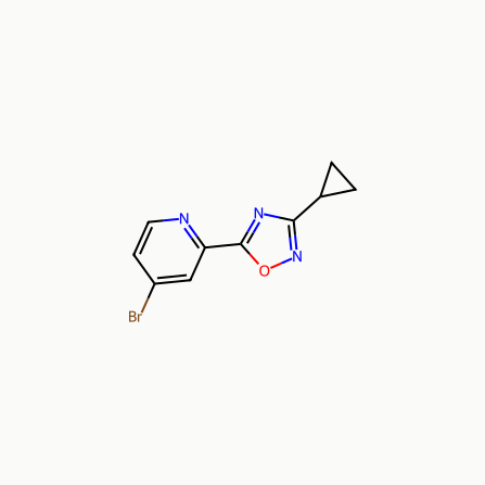 Brc1ccnc(-c2nc(C3CC3)no2)c1